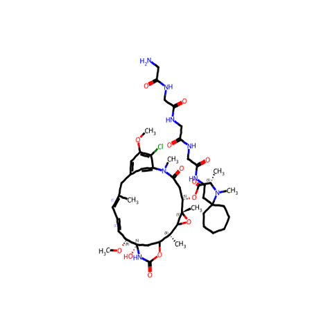 COc1cc2cc(c1Cl)N(C)C(=O)C[C@H](OC(=O)[C@H](C)N(C)C1(CCNC(=O)CNC(=O)CNC(=O)CNC(=O)CN)CCCCCC1)[C@]1(C)OC1[C@H](C)C1C[C@@](O)(NC(=O)O1)[C@H](OC)/C=C/C=C(\C)C2